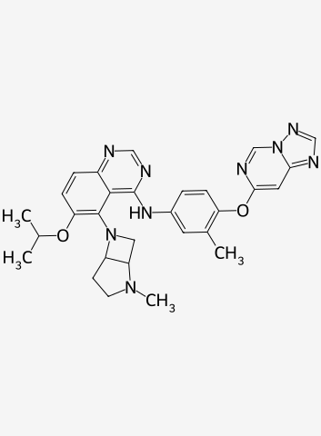 Cc1cc(Nc2ncnc3ccc(OC(C)C)c(N4CC5C4CCN5C)c23)ccc1Oc1cc2ncnn2cn1